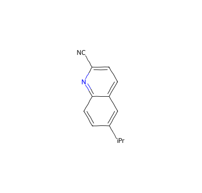 CC(C)c1ccc2nc(C#N)ccc2c1